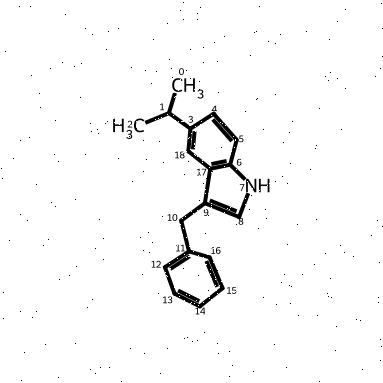 CC(C)c1ccc2[nH]cc(Cc3ccccc3)c2c1